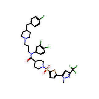 Cn1nc(C(F)(F)F)cc1-c1ccc(S(=O)(=O)N2CCC(C(=O)N(CCCN3CCC(Cc4ccc(F)cc4)CC3)c3ccc(Cl)c(Cl)c3)CC2)s1